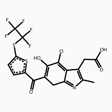 CC1=C(CC(=O)O)C2=C(Cl)C(O)=C(C(=O)c3ccc(SC(F)(F)C(F)(F)F)s3)CC2=N1